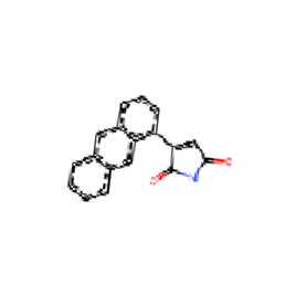 O=C1C=C(c2cccc3cc4ccccc4cc23)C(=O)N1